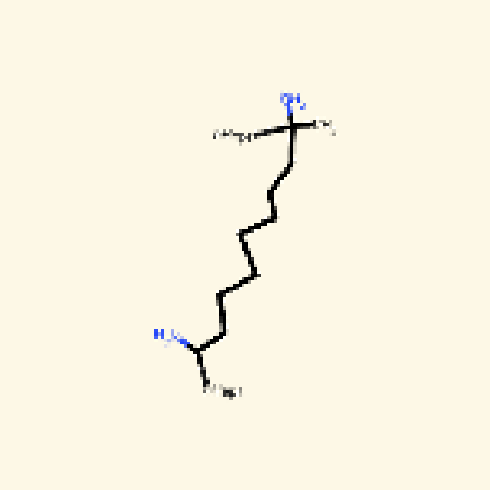 CCCCCCCC(N)CCCCCCCC(C)(N)CCCCCCC